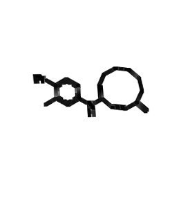 C=C1/C=C\C(Nc2ccc(C(C)C)c(C)c2)=C/CCCCC1